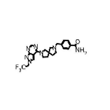 NC(=O)c1ccc(CN2CCC3(CCN(c4ncnc5nn(CC(F)(F)F)cc45)C3)C2)cc1